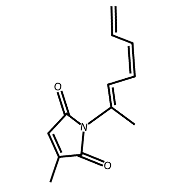 C=C/C=C\C=C(/C)N1C(=O)C=C(C)C1=O